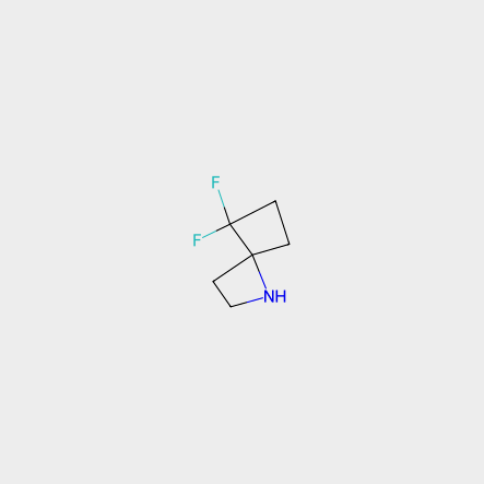 FC1(F)CCC12CCN2